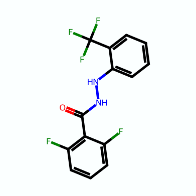 O=C(NNc1ccccc1C(F)(F)F)c1c(F)cccc1F